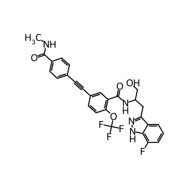 CNC(=O)c1ccc(C#Cc2ccc(OC(F)(F)F)c(C(=O)NC(CO)Cc3n[nH]c4c(F)cccc34)c2)cc1